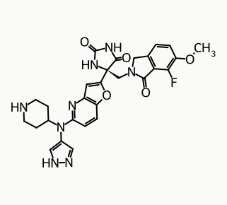 COc1ccc2c(c1F)C(=O)N(C[C@@]1(c3cc4nc(N(c5cn[nH]c5)C5CCNCC5)ccc4o3)NC(=O)NC1=O)C2